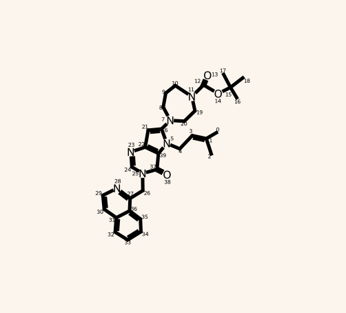 CC(C)=CCn1c(N2CCCN(C(=O)OC(C)(C)C)CC2)cc2ncn(Cc3nccc4ccccc34)c(=O)c21